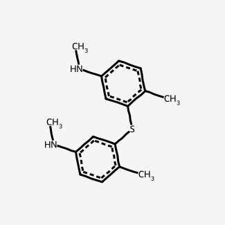 CNc1ccc(C)c(Sc2cc(NC)ccc2C)c1